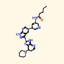 CCCCC(=O)Nc1cncc(-c2cnc3[nH]nc(-c4nc5c(N6CCCCC6)ccnc5[nH]4)c3c2)c1